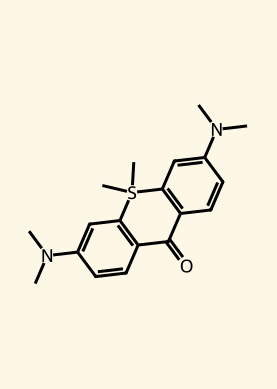 CN(C)c1ccc2c(c1)S(C)(C)c1cc(N(C)C)ccc1C2=O